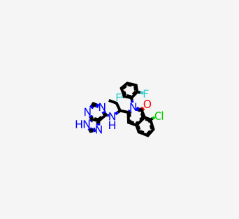 CCC(Nc1ncnc2[nH]cnc12)c1cc2cccc(Cl)c2c(=O)n1-c1c(F)cccc1F